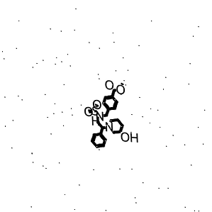 COC(=O)c1ccc(CN(CC(c2ccccc2)N2CCCC(O)C2)[SH](=O)=O)cc1